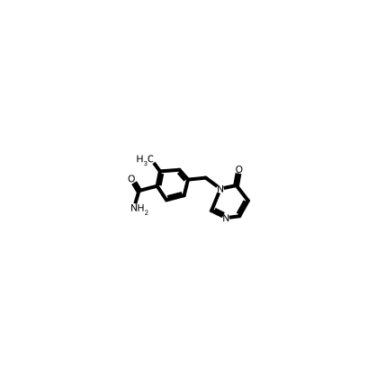 Cc1cc(Cn2cnccc2=O)ccc1C(N)=O